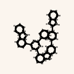 c1ccc(-c2nc(-c3cccc4c3oc3ccccc34)nc(-c3cccc4sc5ccc(-c6ccc(-c7nc8ccccc8o7)cc6)cc5c34)n2)cc1